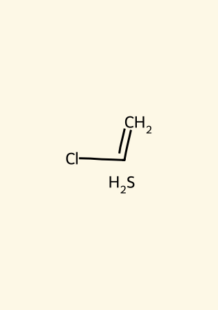 C=CCl.S